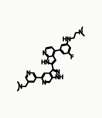 CN(C)CCNc1cc(F)cc(-c2ccnc3[nH]c(-c4n[nH]c5cnc(-c6cncc(CN(C)C)c6)cc45)cc23)c1